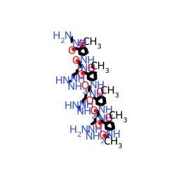 COc1ccc(NC(=O)[C@@H](CCCNC(=N)N)NC(=O)c2cc(NC(=O)[C@@H](CCCNC(=N)N)NC(=O)c3cc(NC(=O)[C@@H](CCCNC(N)N)NC(=O)c4cc(NC(C)=O)ccc4OC)ccc3OC)ccc2OC)cc1C(=O)NCCN